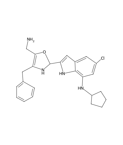 NCC1=C(Cc2ccccc2)NC(c2cc3cc(Cl)cc(NC4CCCC4)c3[nH]2)O1